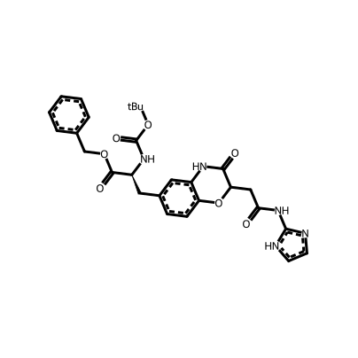 CC(C)(C)OC(=O)N[C@@H](Cc1ccc2c(c1)NC(=O)C(CC(=O)Nc1ncc[nH]1)O2)C(=O)OCc1ccccc1